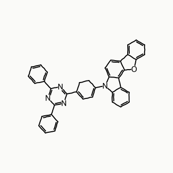 C1=C(c2nc(-c3ccccc3)nc(-c3ccccc3)n2)CCC(n2c3ccccc3c3c4oc5ccccc5c4ccc32)=C1